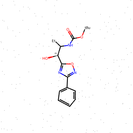 CCC(NC(=O)OC(C)(C)C)[C@H](O)c1nc(-c2ccccc2)no1